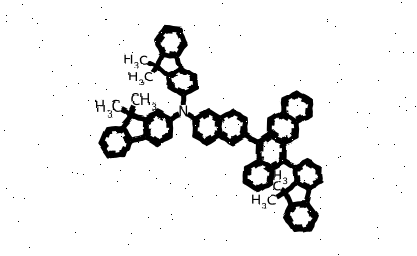 CC1(C)c2ccccc2-c2ccc(N(c3ccc4c(c3)C(C)(C)c3ccccc3-4)c3ccc4cc(-c5c6ccccc6c(-c6cccc7c6C(C)(C)c6ccccc6-7)c6cc7ccccc7cc56)ccc4c3)cc21